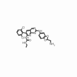 CCNC(=O)Nc1nc2nc(Nc3ccc4c(c3)OC(CN)O4)ncc2cc1-c1c(Cl)cccc1Cl